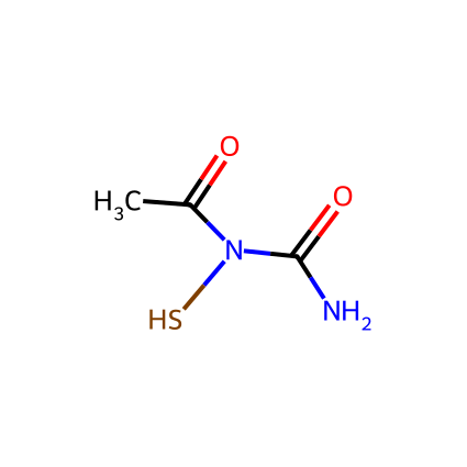 CC(=O)N(S)C(N)=O